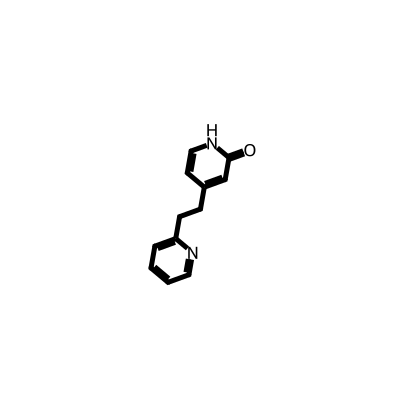 O=c1cc(CCc2ccccn2)cc[nH]1